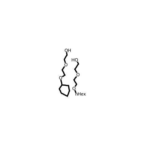 CCCCCCOCCOCCO.OCCOCCOC1CCCCC1